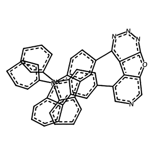 c1ccc(-n2c3ccccc3c3cc(-c4cncc5oc6nnnc(-c7ccc8c(c7)c7ccccc7n8-c7ccccc7)c6c45)ccc32)cc1